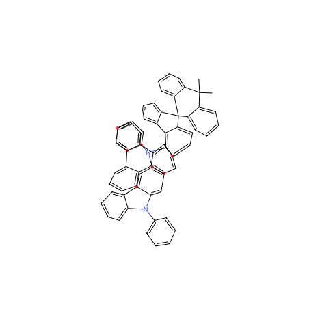 CC1(C)c2ccccc2C2(c3ccccc3-c3c(N(c4ccc5c(c4)c4ccccc4n5-c4ccccc4)c4ccccc4-c4ccccc4-c4ccccc4-c4ccccc4)cccc32)c2ccccc21